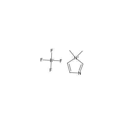 C[N+]1(C)C=CN=C1.F[B-](F)(F)F